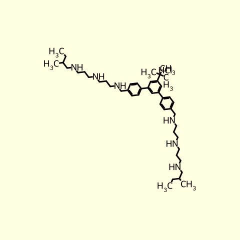 CCC(C)CNCCCNCCCNCc1ccc(-c2cc(-c3ccc(CNCCCNCCCNCC(C)CC)cc3)cc(C(C)(C)C)c2)cc1.Cl